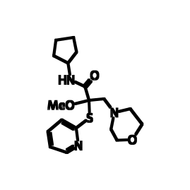 COC(CN1CCOCC1)(Sc1ccccn1)C(=O)NC1CCCC1